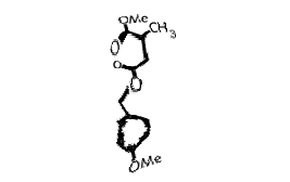 COC(=O)C(C)CC(=O)OCc1ccc(OC)cc1